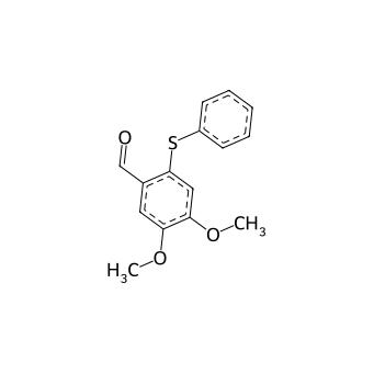 COc1cc(C=O)c(Sc2ccccc2)cc1OC